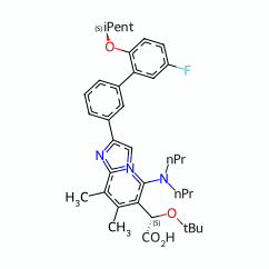 CCC[C@H](C)Oc1ccc(F)cc1-c1cccc(-c2cn3c(N(CCC)CCC)c([C@H](OC(C)(C)C)C(=O)O)c(C)c(C)c3n2)c1